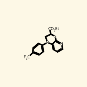 CCOC(=O)C1CN(c2ccc(C(F)(F)F)cc2)c2cccnc2S1